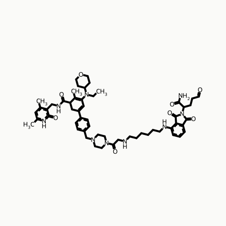 CCN(C1=C(C)C(C(=O)NCc2c(C)cc(C)[nH]c2=O)CC(c2ccc(CN3CCN(C(=O)CNCCCCCCNc4cccc5c4C(=O)N(C(CCC=O)C(N)=O)C5=O)CC3)cc2)=C1)C1CCOCC1